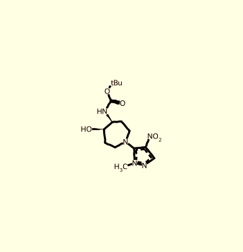 Cn1ncc([N+](=O)[O-])c1N1CC[C@@H](O)[C@@H](NC(=O)OC(C)(C)C)CC1